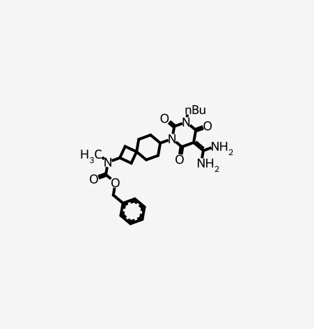 CCCCN1C(=O)C(=C(N)N)C(=O)N(C2CCC3(CC2)CC(N(C)C(=O)OCc2ccccc2)C3)C1=O